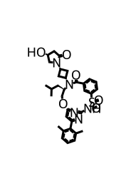 Cc1cccc(C)c1-c1cc2nc(n1)NS(=O)(=O)c1cccc(c1)C(=O)N([C@H]1C[C@@H](N3C[C@@H](O)CC3=O)C1)[C@H](CC(C)C)CO2